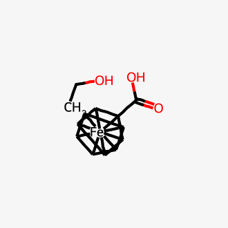 CCO.O=C(O)[C]12[CH]3[CH]4[CH]5[CH]1[Fe]45321678[CH]2[CH]1[CH]6[CH]7[CH]28